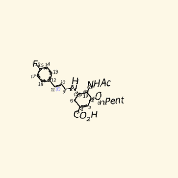 CCCCCO[C@@H]1C=C(C(=O)O)C[C@H](NC/C=C/c2ccc(F)cc2)[C@H]1NC(C)=O